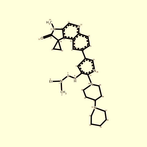 CCN(C)SNc1cc(-c2ccc3ncc4c(c3c2)C2(CC2)C(=O)N4C)cnc1N1CCC(N2CCCCC2)CC1